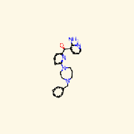 Nc1ncccc1C(=O)c1cccc(N2CCCN(Cc3ccccc3)CC2)n1